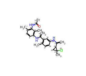 C=C(Nc1ccc(C)c(NC(=O)CC)c1C)c1cc(NC(=C)C2CC2(C)Cl)ccc1C